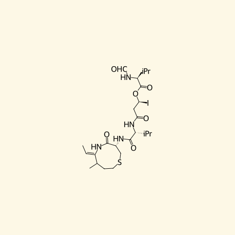 C/C=C1\NC(=O)[C@H](NC(=O)[C@H](NC(=O)C[C@H](I)OC(=O)[C@@H](NC=O)C(C)C)C(C)C)CSCCC1C